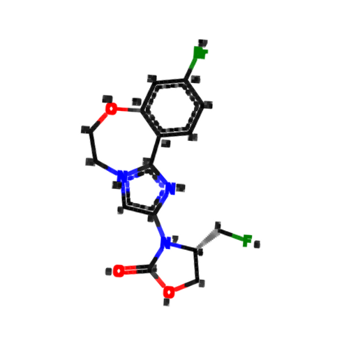 O=C1OC[C@@H](CF)N1c1cn2c(n1)-c1ccc(Br)cc1OCC2